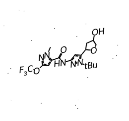 Cn1nc(OC(F)(F)F)cc1C(=O)Nc1cc(C2CC(O)CO2)n(C(C)(C)C)n1